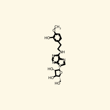 COc1ccc(CCNc2ncnc3c2ncn3[C@@H]2O[C@H](CO)C(O)[C@@H]2O)cc1O